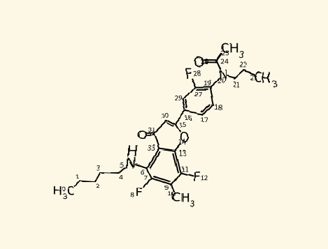 CCCCCNc1c(F)c(C)c(F)c2oc(-c3ccc(N(CCC)C(C)=O)c(F)c3)cc(=O)c12